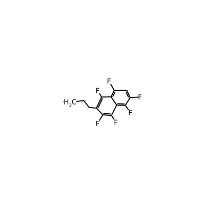 [CH2][CH]Cc1c(F)c(F)c2c(F)c(F)cc(F)c2c1F